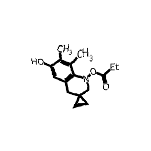 CCC(=O)ON1CC2(CC2)Cc2cc(O)c(C)c(C)c21